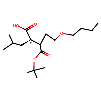 CCCCOCCC(C(=O)OC(C)(C)C)[C@@H](CC(C)C)C(=O)O